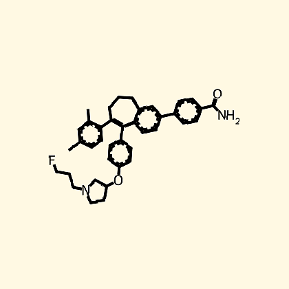 Cc1ccc(C2=C(c3ccc(OC4CCN(CCCF)C4)cc3)c3ccc(-c4ccc(C(N)=O)cc4)cc3CCC2)c(C)c1